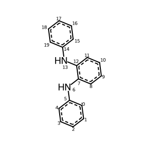 [c]1ccccc1Nc1ccccc1Nc1ccccc1